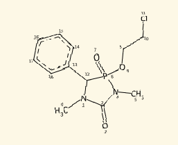 CN1C(=O)N(C)P(=O)(OCCCl)C1c1ccccc1